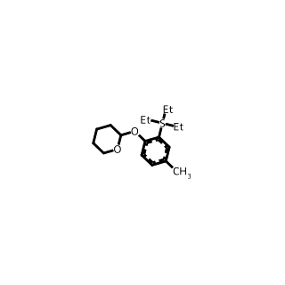 CCS(CC)(CC)c1cc(C)ccc1OC1CCCCO1